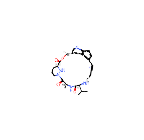 CC(C)[C@@H]1NCC/C=C/c2ccc3ncc(cc3c2)[C@@H](C)OC(=O)[C@@H]2CCCN(N2)C(=O)[C@H](C)NC1=O